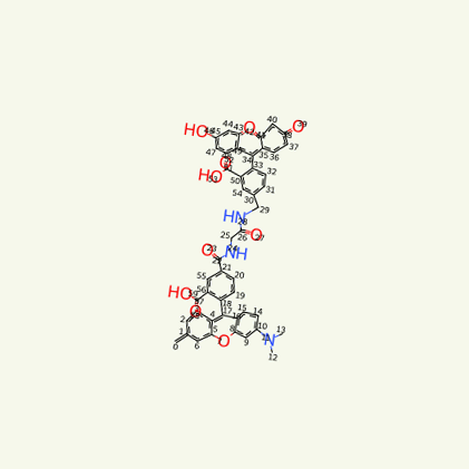 C=c1ccc2c(c1)Oc1cc(N(C)C)ccc1C=2c1ccc(C(=O)NCC(=O)NCc2ccc(-c3c4ccc(=O)cc-4oc4cc(O)ccc34)c(C(=O)O)c2)cc1C(=O)O